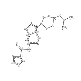 CC(C)CN1CCC(n2ccc3cc(NC(=O)c4ccoc4)ccc32)CC1